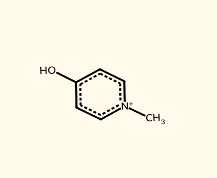 C[n+]1ccc(O)cc1